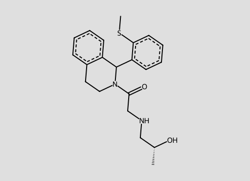 CSc1ccccc1C1c2ccccc2CCN1C(=O)CNC[C@@H](C)O